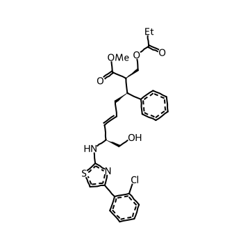 CCC(=O)OC[C@H](C(=O)OC)[C@H](C/C=C/[C@@H](CO)Nc1nc(-c2ccccc2Cl)cs1)c1ccccc1